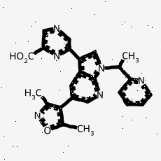 Cc1noc(C)c1-c1cnc2c(c1)c(-c1cncc(C(=O)O)n1)cn2C(C)c1ccccn1